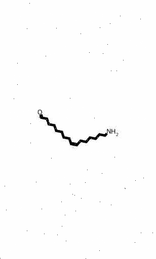 NCCCCCC/C=C\CCCCCCC[C]=O